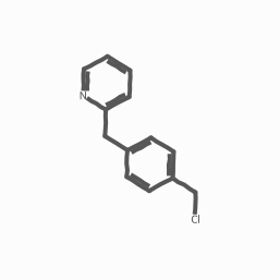 ClCc1ccc(Cc2ccccn2)cc1